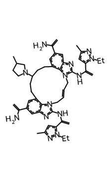 C=C(N)c1cc2c3c(c1)nc(NC(=C)c1cc(C)nn1CC)n3C/C=C/Cn1c(NC(=C)c3cc(C)nn3CC)nc3cc(C(=C)N)cc(c31)CCC(N1CCC(C)C1)CC2